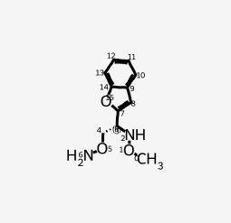 CON[C@H](CON)c1cc2ccccc2o1